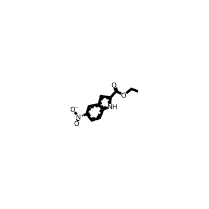 CCOC(=O)c1[c]c2cc([N+](=O)[O-])ccc2[nH]1